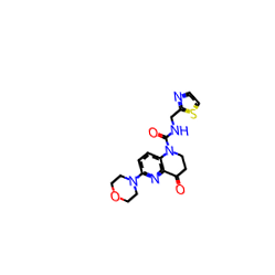 O=C1CCN(C(=O)NCc2nccs2)c2ccc(N3CCOCC3)nc21